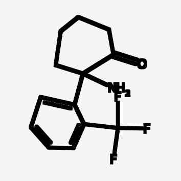 NC1(c2ccccc2C(F)(F)F)CCCCC1=O